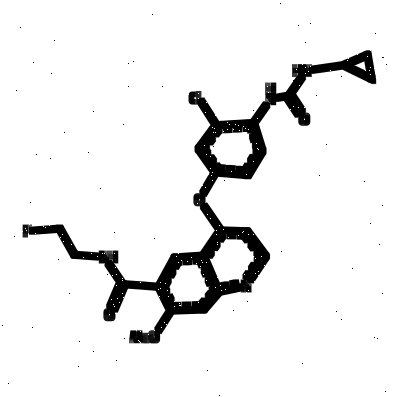 COc1cc2nccc(Oc3ccc(NC(=O)NC4CC4)c(Cl)c3)c2cc1C(=O)NCCF